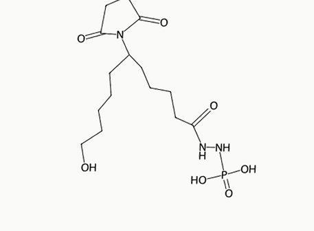 O=C(CCCCC(CCCCCO)N1C(=O)CCC1=O)NNP(=O)(O)O